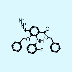 [N-]=[N+]=Nc1ccc(C(=O)OCc2ccccc2)c(Nc2ccccc2F)c1OCc1ccccc1